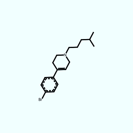 CC(C)CCCN1CC=C(c2ccc(Br)cc2)CC1